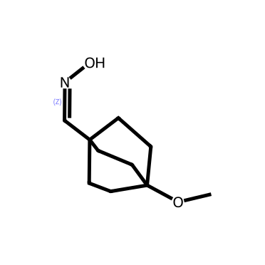 COC12CCC(/C=N\O)(CC1)CC2